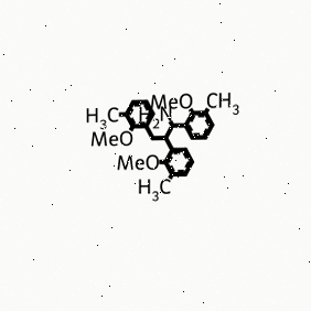 COc1c(C)cccc1CC(c1cccc(C)c1OC)C(N)c1cccc(C)c1OC